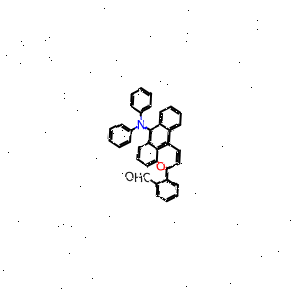 O=Cc1ccccc1C(=O)/C=C\c1c2ccccc2c(N(c2ccccc2)c2ccccc2)c2ccccc12